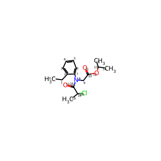 CCc1ccccc1N(CC(=O)OC(C)C)C(=O)C(C)Cl